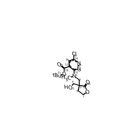 CN(CC1(CO)CCOC1=O)c1nnc(Cl)cc1C(=O)OC(C)(C)C